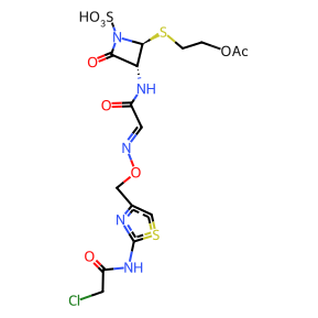 CC(=O)OCCS[C@H]1[C@H](NC(=O)C=NOCc2csc(NC(=O)CCl)n2)C(=O)N1S(=O)(=O)O